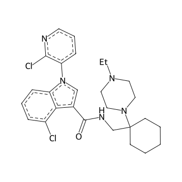 CCN1CCN(C2(CNC(=O)c3cn(-c4cccnc4Cl)c4cccc(Cl)c34)CCCCC2)CC1